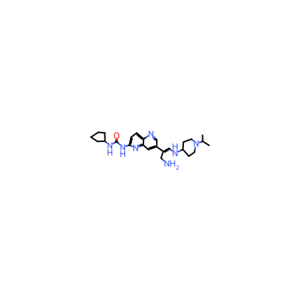 CC(C)N1CCC(N/C=C(\CN)c2cnc3ccc(NC(=O)NC4CCCC4)nc3c2)CC1